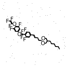 CCCCCCC1COC(CC/C=C/c2cc(F)c(C(F)(F)Oc3cc(F)c(OC(F)=C(F)F)c(F)c3)c(F)c2)OC1